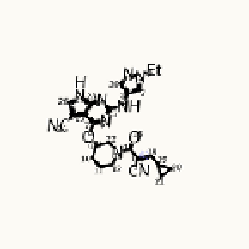 CCn1cc(Nc2nc(O[C@@H]3CCCN(C(=O)/C(C#N)=C/C4CC4)C3)c3c(C#N)c[nH]c3n2)cn1